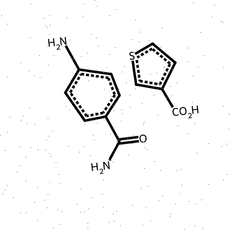 NC(=O)c1ccc(N)cc1.O=C(O)c1ccsc1